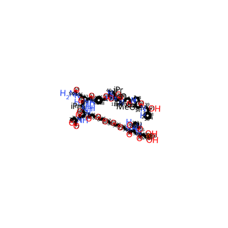 CC[C@H](C)[C@@H]([C@@H](CC(=O)N1CCC[C@H]1[C@H](OC)[C@@H](C)C(=O)N[C@H](C)[C@@H](O)c1ccccc1)OC)N(C)C(=O)[C@@H](NC(=O)[C@H](C(C)C)N(C)C(=O)OCc1ccc(NC(=O)[C@H](CCCNC(N)=O)NC(=O)[C@@H](NC(=O)C(CC(=O)N[C@H]2CCOC2=O)NC(=O)CCOCCOCCOCCOCCNC(=O)C(CNC(=O)CCP(=O)(O)O)N2C(=O)C=CC2=O)C(C)C)cc1)C(C)C